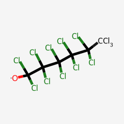 [O]C(Cl)(Cl)C(Cl)(Cl)C(Cl)(Cl)C(Cl)(Cl)C(Cl)(Cl)C(Cl)(Cl)Cl